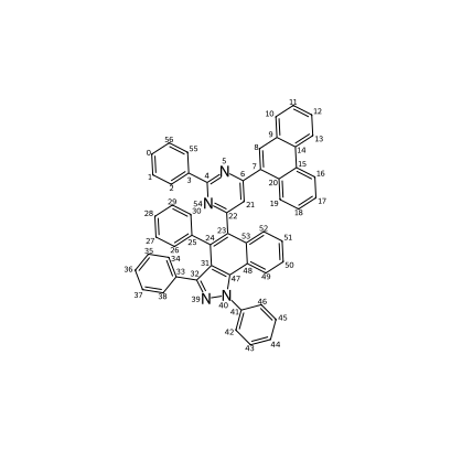 c1ccc(-c2nc(-c3cc4ccccc4c4ccccc34)cc(-c3c(-c4ccccc4)c4c(-c5ccccc5)nn(-c5ccccc5)c4c4ccccc34)n2)cc1